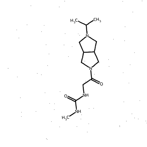 CNC(=O)NCC(=O)N1CC2CN(C(C)C)CC2C1